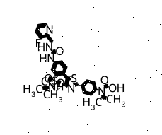 CC(C)N(C(=O)O)[C@H]1CC[C@H](c2ncc(-c3ccc(NC(=O)NCc4ncccc4F)cc3S(=O)(=O)NC(C)(C)C)s2)CC1